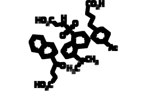 CC(=O)c1ccc(CCCC(=O)O)cc1.CN(C)c1cccc2c(S(=O)(=O)NCC(=O)O)cccc12.O=C(O)CCC(=O)c1ccc2ccccc2c1